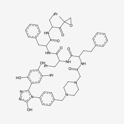 CC(C)CC(NC(=O)C(CCc1ccccc1)NC(=O)CN1CCN(Cc2ccc(-n3c(O)nnc3-c3cc(C(C)C)c(O)cc3O)cc2)CC1)C(=O)NC(Cc1ccccc1)C(=O)NC(CC(C)C)C(=O)C1(C)CO1